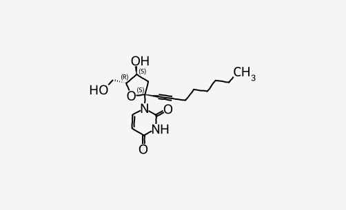 CCCCCCC#C[C@]1(n2ccc(=O)[nH]c2=O)C[C@H](O)[C@@H](CO)O1